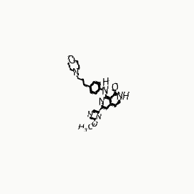 COc1cncc(-c2cc3cc[nH]c(=O)c3c(Nc3ccc(CCCN4CCOCC4)cc3)n2)n1